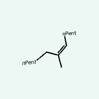 CCCCCC=C(C)CCCCCC